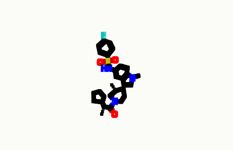 C[C@@H](C(=O)N1CC[C@@H](c2cn(C)c3ccc(NS(=O)(=O)c4ccc(F)cc4)cc23)[C@@H](C)C1)C1CCCC1